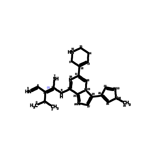 CC(C)/C(C=N)=C(/S)Nc1nc(C2=CCCNC2)cn2c(-c3cnn(C)c3)cnc12